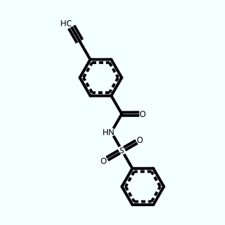 C#Cc1ccc(C(=O)NS(=O)(=O)c2ccccc2)cc1